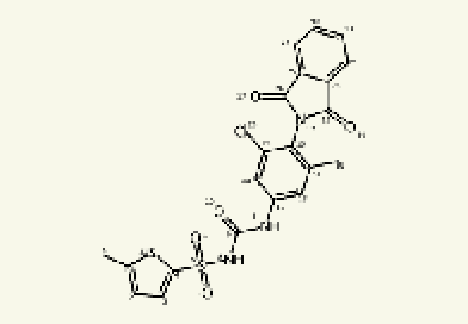 Cc1ccc(S(=O)(=O)NC(=O)Nc2cc(C)c(N3C(=O)c4ccccc4C3=O)c(Cl)c2)s1